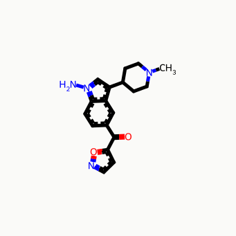 CN1CCC(c2cn(N)c3ccc(C(=O)c4ccno4)cc23)CC1